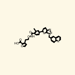 Cc1cc(-c2ccc3nnn(Cc4ccc5ncccc5c4)c3n2)ccc1C(=O)NOCCc1ccoc1C(=O)O